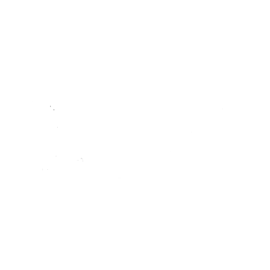 CC1CCC(Oc2ccc3cc(CN4C5CCCC4CC(C(=O)O)C5)ccc3c2C(F)(F)F)CC1